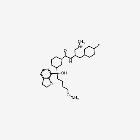 CNCC(CC1CCC(F)CC1)NC(=O)N1CCCC(C(O)(CCCCOC)c2cccc3c2OCC3)C1